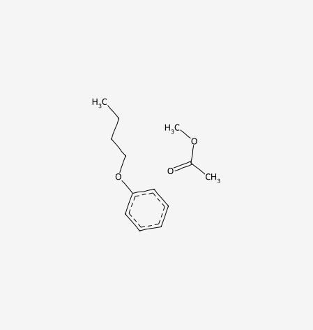 CCCCOc1ccccc1.COC(C)=O